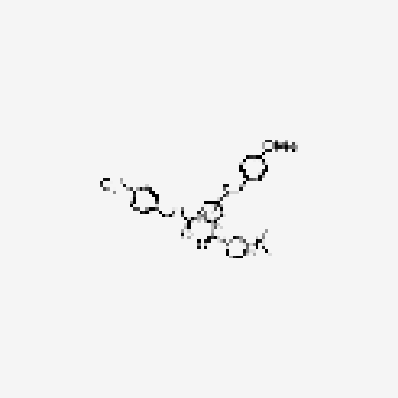 COc1ccc(CS[C@H]2C[C@@H](C(=O)N3CC[C@@H](N(C)C)C3)N(C(=O)OCc3ccc([N+](=O)[O-])cc3)C2)cc1